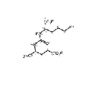 O=CC(CCC(=O)O)NC(=O)N[C@@H](CCCF)C(=O)O